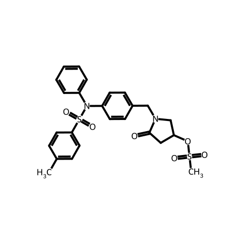 Cc1ccc(S(=O)(=O)N(c2ccccc2)c2ccc(CN3CC(OS(C)(=O)=O)CC3=O)cc2)cc1